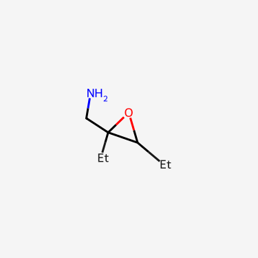 CCC1OC1(CC)CN